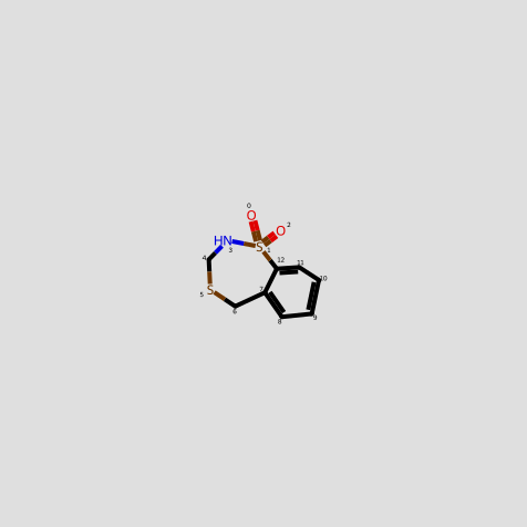 O=S1(=O)NCSCc2ccccc21